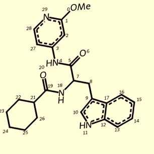 COc1cc(NC(=O)C(Cc2c[nH]c3ccccc23)NC(=O)C2CCCCC2)ccn1